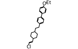 CCOc1ccc(-c2ccc(CCC3CCC(/C=C/Cl)CC3)cc2)cc1